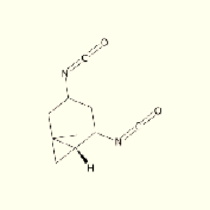 CC12CC(N=C=O)CC(N=C=O)[C@@H]1C2